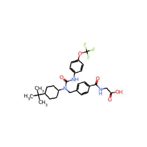 CC(C)(C)C1CCC(N(Cc2ccc(C(=O)NCC(=O)O)cc2)C(=O)Nc2ccc(OC(F)(F)F)cc2)CC1